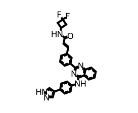 O=C(/C=C/c1cccc(-c2nc(Nc3ccc(-c4cn[nH]c4)cc3)c3ccccc3n2)c1)NC1CC(F)(F)C1